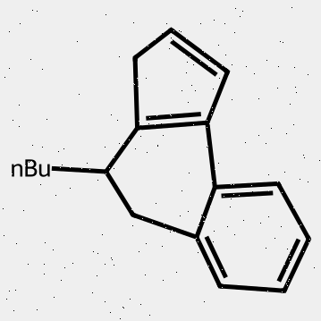 CCCCC1Cc2ccccc2C2=C1CC=C2